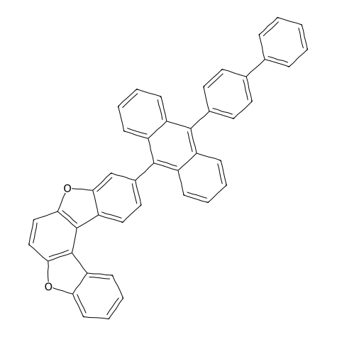 c1ccc(-c2ccc(-c3c4ccccc4c(-c4ccc5c(c4)oc4ccc6oc7ccccc7c6c45)c4ccccc34)cc2)cc1